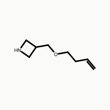 C=CCCOCC1CNC1